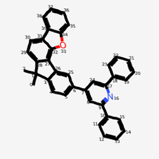 CC1(C)c2ccc(-c3cc(-c4ccccc4)nc(-c4ccccc4)c3)cc2-c2c1ccc1c2oc2ccccc21